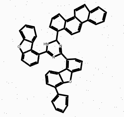 c1ccc(-c2cccc3c2oc2cccc(C4=NC(c5cccc6c5ccc5c7ccccc7ccc65)NC(c5cccc6oc7ccccc7c56)=N4)c23)cc1